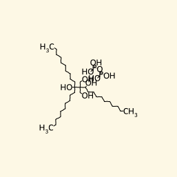 CCCCCCCCCCC(O)C(CO)(CO)C(O)(CCCCCCCCCC)CCCCCCCCCC.OP(O)OP(O)O